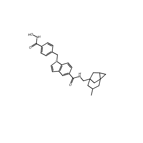 CC1CC2(CNC(=O)c3ccc4c(ccn4Cc4ccc(C(=O)NO)cc4)c3)CC3CC3(C1)C2